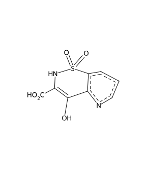 O=C(O)C1=C(O)c2ncccc2S(=O)(=O)N1